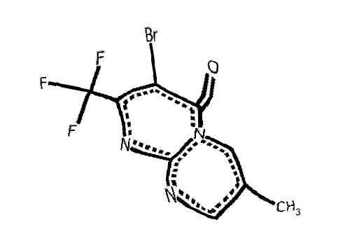 Cc1cnc2nc(C(F)(F)F)c(Br)c(=O)n2c1